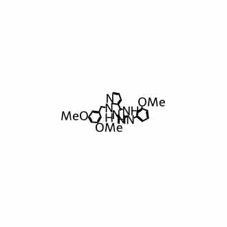 COc1cccc(Nc2nnc(-c3cccnc3NCc3cc(OC)cc(OC)c3)[nH]2)c1